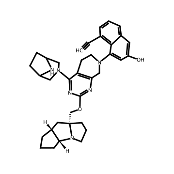 C#Cc1cccc2cc(O)cc(N3CCc4c(nc(OC[C@]56CCCN5[C@@H]5CCC[C@@H]5C6)nc4N4CC5CCC(C4)N5)C3)c12